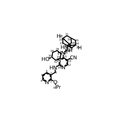 CC(C)Oc1ncccc1CNc1ncc(C#N)c(NC[C@]23CC4C[C@H](C2)[C@@H](NC[C@H]2CC[C@H](O)CC2)[C@@H](C4)C3)n1